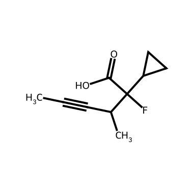 CC#CC(C)C(F)(C(=O)O)C1CC1